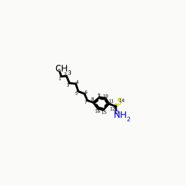 CCCCCCCCc1ccc(C(N)=S)cc1